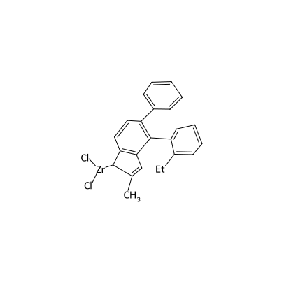 CCc1ccccc1-c1c(-c2ccccc2)ccc2c1C=C(C)[CH]2[Zr]([Cl])[Cl]